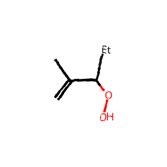 C=C(C)C(CC)OO